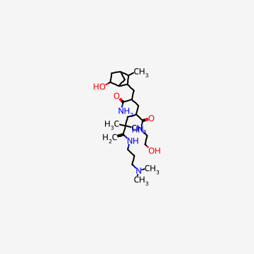 C=C(NCCCN(C)C)C(C)(C)CC(CC(CC1C(C)C2CC(O)C1C2)C(N)=O)C(=O)NCCO